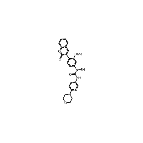 COc1cc(N(S)C(=O)Nc2ccc(N3CCOCC3)nc2)ccc1-c1cc2ccccc2oc1=O